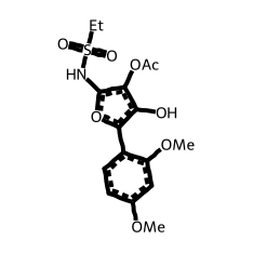 CCS(=O)(=O)Nc1oc(-c2ccc(OC)cc2OC)c(O)c1OC(C)=O